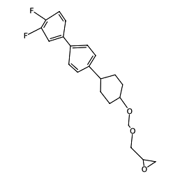 Fc1ccc(-c2ccc(C3CCC(OCOCC4CO4)CC3)cc2)cc1F